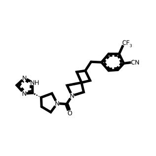 N#Cc1ccc(CC2CC3(C2)CN(C(=O)N2CC[C@H](c4ncn[nH]4)C2)C3)cc1C(F)(F)F